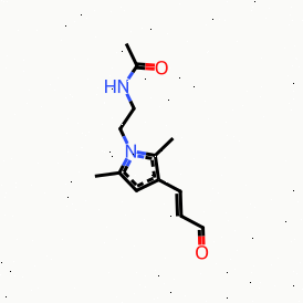 CC(=O)NCCn1c(C)cc(C=CC=O)c1C